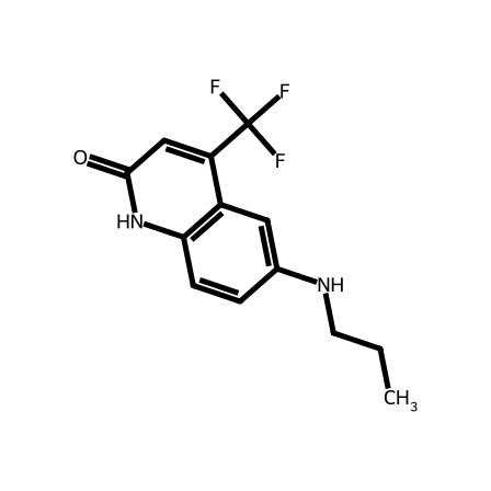 CCCNc1ccc2[nH]c(=O)cc(C(F)(F)F)c2c1